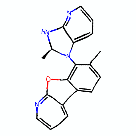 Cc1ccc2c(oc3ncccc32)c1N1c2cccnc2N[C@@H]1C